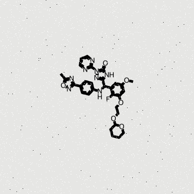 COc1cc(OCCOC2CCCCO2)c(F)c(C(Nc2ccc(-c3noc(C)n3)cc2)c2nn(-c3ncccn3)c(=O)[nH]2)c1